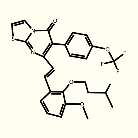 COc1cccc(C=Cc2nc3sccn3c(=O)c2-c2ccc(OC(F)(F)F)cc2)c1OCCC(C)C